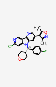 Cc1noc(C)c1-c1cnc2c3cnc(Cl)cc3n([C@H](c3ccc(F)cc3)C3CCOCC3)c2c1